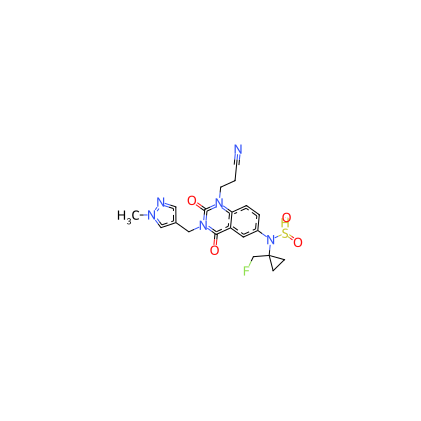 Cn1cc(Cn2c(=O)c3cc(N([SH](=O)=O)C4(CF)CC4)ccc3n(CCC#N)c2=O)cn1